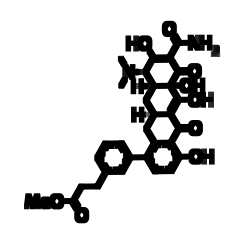 COC(=O)CCc1cccc(-c2ccc(O)c3c2C[C@H]2C[C@@H]4[C@@H](N(C)C)C(O)=C(C(N)=O)C(=O)[C@]4(O)C(O)=C2C3=O)c1